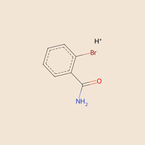 NC(=O)c1ccccc1Br.[H+]